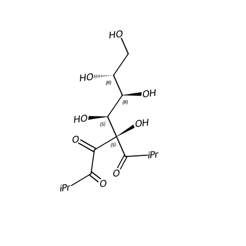 CC(C)C(=O)C(=O)[C@@](O)(C(=O)C(C)C)[C@@H](O)[C@H](O)[C@H](O)CO